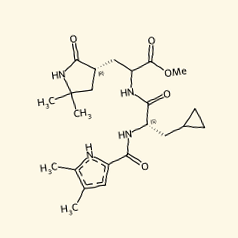 COC(=O)C(C[C@@H]1CC(C)(C)NC1=O)NC(=O)[C@H](CC1CC1)NC(=O)c1cc(C)c(C)[nH]1